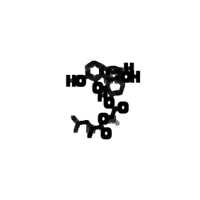 CC(C)C[C@H](C)C(=O)O[C@@H](C)C(=O)OC1=CC[C@@]2(O)[C@@H]3CCC[C@@]24c2c(ccc(O)c2O[C@@H]14)C3